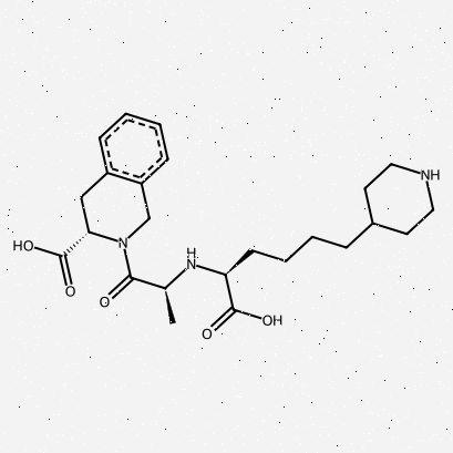 C[C@H](N[C@@H](CCCCC1CCNCC1)C(=O)O)C(=O)N1Cc2ccccc2C[C@H]1C(=O)O